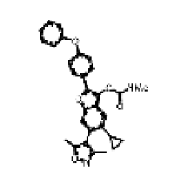 CNC(=O)Oc1c(-c2ccc(Oc3ccccc3)cc2)oc2cc(-c3c(C)noc3C)c(C3CC3)cc12